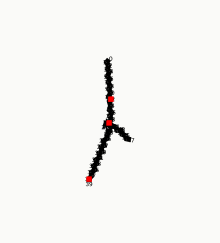 CCCCCCCCCCCCCCCCCCCN1C=CN(CCCCCCCCCCCCCCCCC)C1CCCCCCC